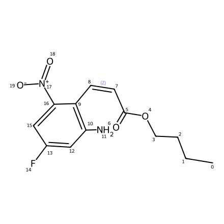 CCCCOC(=O)/C=C\c1c(N)cc(F)cc1[N+](=O)[O-]